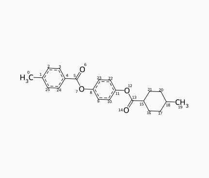 Cc1ccc(C(=O)Oc2ccc(OC(=O)C3CCC(C)CC3)cc2)cc1